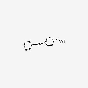 OCc1ccc(C#Cc2cc[c]cc2)cc1